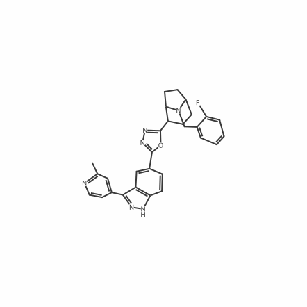 Cc1cc(-c2n[nH]c3ccc(-c4nnc(C5CCC6CCC5N6Cc5ccccc5F)o4)cc23)ccn1